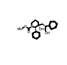 CC(C)(C)OC(=O)N1CCC[C@@](O)(C[C@H](CO)c2ccccc2)[C@H]1c1ccccc1